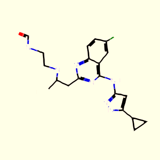 CC(Cc1nc(Nc2cc(C3CC3)[nH]n2)c2cc(Cl)ccc2n1)NCCNC=O